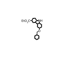 CCOC(=O)c1ccc2[nH]c3ccc(OCc4ccccc4)cc3c2c1